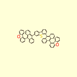 c1ccc2c(c1)oc1cccc(-c3c4ccccc4c(-c4ccc5c(c4)sc4c(-c6c7ccccc7c(-c7cccc8oc9ccccc9c78)c7ccccc67)cccc45)c4ccccc34)c12